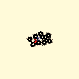 c1ccc(-c2cccc3c2oc2c(N(c4ccccc4)c4cc5c(c6ccccc46)-c4ccccc4C5(c4ccccc4)c4ccccc4)cccc23)cc1